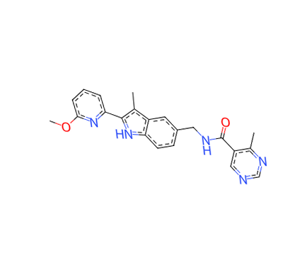 COc1cccc(-c2[nH]c3ccc(CNC(=O)c4cncnc4C)cc3c2C)n1